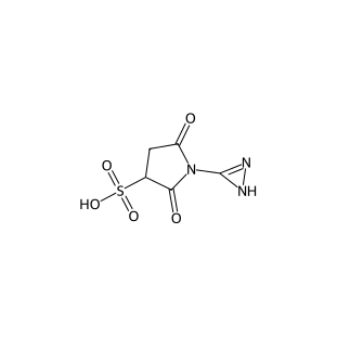 O=C1CC(S(=O)(=O)O)C(=O)N1C1=NN1